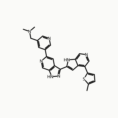 Cc1ccc(-c2cncc3[nH]c(-c4n[nH]c5cnc(-c6cncc(CN(C)C)c6)cc45)cc23)s1